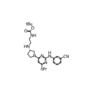 CCCc1cc(N2CC[C@H](NCCNC(=O)OC(C)(C)C)C2)nc(Nc2cccc(C#N)c2)n1